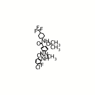 CC(C)Oc1cc2c(cc1C(=O)NC1CCC(C(F)(F)F)CC1)nc(Nc1c(Cl)ccc(Cl)c1F)n2C